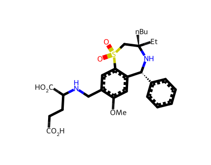 CCCC[C@]1(CC)CS(=O)(=O)c2cc(CNC(CCC(=O)O)C(=O)O)c(OC)cc2[C@@H](c2ccccc2)N1